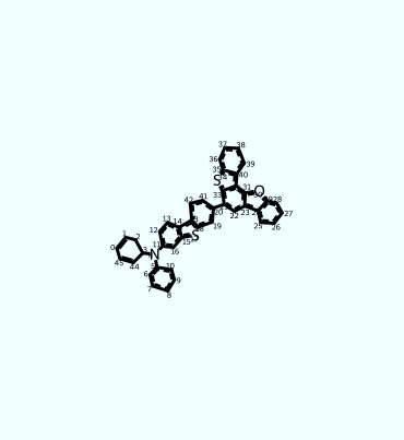 C1=CCC(N(c2ccccc2)c2ccc3c(c2)sc2cc(-c4cc5c6ccccc6oc5c5c4sc4ccccc45)ccc23)C=C1